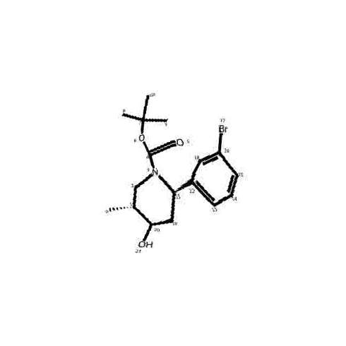 C[C@@H]1CN(C(=O)OC(C)(C)C)[C@@H](c2cccc(Br)c2)CC1O